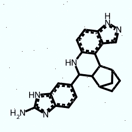 Nc1nc2ccc(C3Nc4ccc5[nH]ncc5c4C4C5CCC(C5)C34)cc2[nH]1